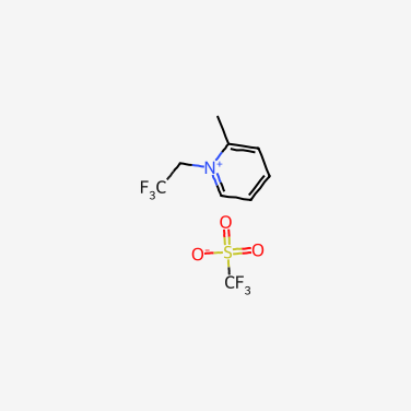 Cc1cccc[n+]1CC(F)(F)F.O=S(=O)([O-])C(F)(F)F